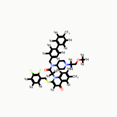 [2H]c1c([2H])c(F)c(F)c(CSc2c([2H])c(=O)c3c([2H])c(C)c([2H])c([2H])c3n2C([2H])([2H])C(=O)N(Cc2c([2H])c([2H])c(-c3c([2H])c([2H])c(C(F)(F)F)c([2H])c3[2H])c([2H])c2[2H])C2CCN(C([2H])([2H])COC([2H])([2H])[2H])CC2)c1[2H]